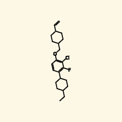 C=CC1CCC(COc2ccc(C3CCC(CC)CC3)c(F)c2Cl)CC1